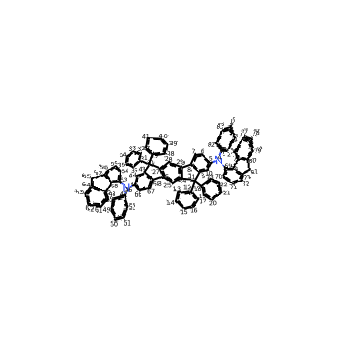 c1ccc(N(c2ccc3c(c2)C(c2ccccc2)(c2ccccc2)c2cc4c(cc2-3)C(c2ccccc2)(c2ccccc2)c2cc(N(c3ccccc3)c3cccc5c3-c3ccccc3C5)ccc2-4)c2cccc3c2-c2ccccc2C3)cc1